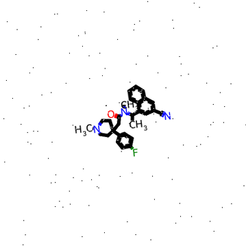 CC(c1cc(C#N)cc2ccccc12)N(C)C(=O)CC1(c2ccc(F)cc2)CCN(C)CC1